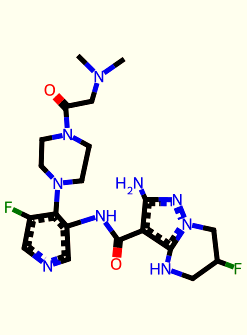 CN(C)CC(=O)N1CCN(c2c(F)cncc2NC(=O)c2c(N)nn3c2NCC(F)C3)CC1